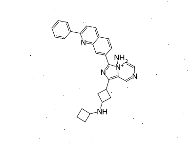 N[N+]12C=CN=CC1=C(C1CC(NC3CCC3)C1)N=C2c1ccc2ccc(-c3ccccc3)nc2c1